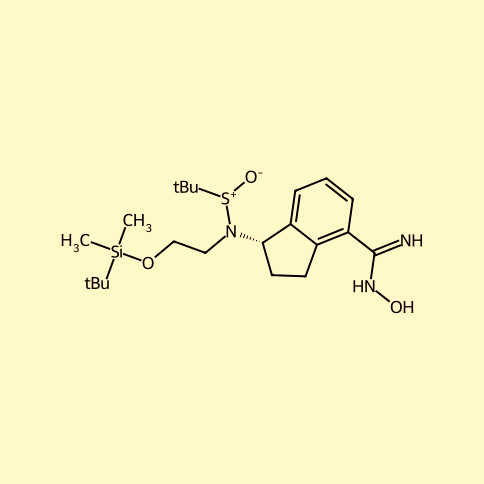 CC(C)(C)[S+]([O-])N(CCO[Si](C)(C)C(C)(C)C)[C@H]1CCc2c(C(=N)NO)cccc21